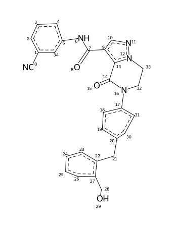 N#Cc1cccc(NC(=O)c2cnn3c2C(=O)N(c2ccc(Cc4ccccc4CO)cc2)CC3)c1